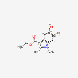 CCOC(=O)c1c(C)n(C)c2cc(Br)c(O)cc12